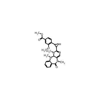 COC(=O)c1ccc(C2NC2C2=NC=C3C(N2C)N(C)c2ccccc2C(=O)N3C)c(OC)c1